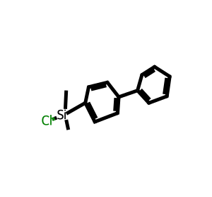 C[Si](C)(Cl)c1ccc(-c2ccccc2)cc1